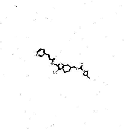 N#Cc1c(NC(=O)C=Cc2cccnc2)sc2c1CCC(COC(=O)N1CC(F)C1)C2